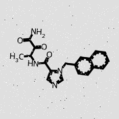 CC(NC(=O)c1cncn1Cc1ccc2ccccc2c1)C(=O)C(N)=O